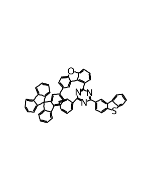 c1ccc(-c2nc(-c3ccc4sc5ccccc5c4c3)nc(-c3cccc4oc5ccc(-c6ccc7c(c6)C6(c8ccccc8-c8ccccc86)c6ccccc6-7)cc5c34)n2)cc1